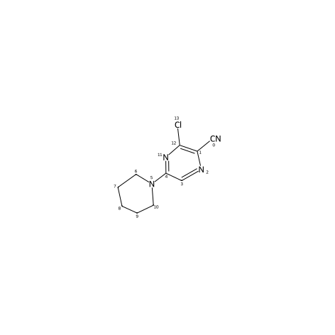 N#Cc1ncc(N2CCCCC2)nc1Cl